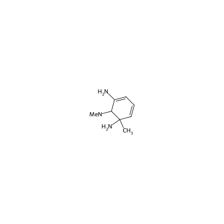 CNC1C(N)=CC=CC1(C)N